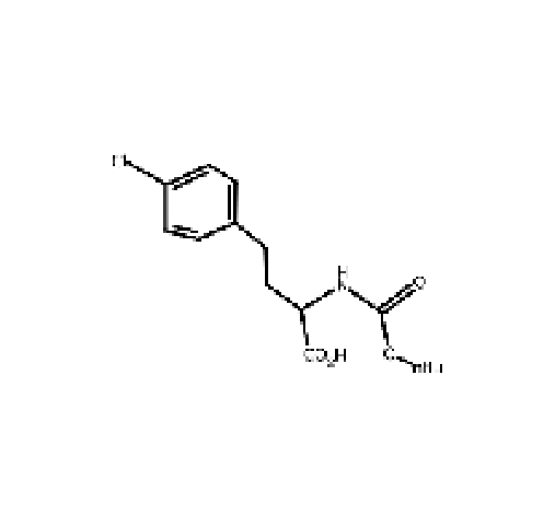 CCCCOC(=O)NC(CCc1ccc(Cl)cc1)C(=O)O